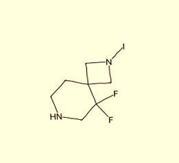 FC1(F)CNCCC12CN(I)C2